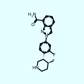 NC(=O)c1cccc2cn(-c3ccc([C@H]4CNCC[C@@H]4F)c(F)c3)nc12